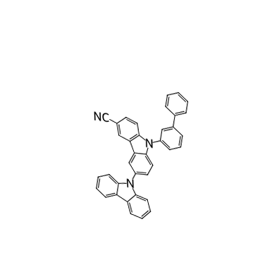 N#Cc1ccc2c(c1)c1cc(-n3c4ccccc4c4ccccc43)ccc1n2-c1cccc(-c2ccccc2)c1